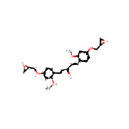 COc1cc(OCC2CO2)ccc1/C=C/C(=O)/C=C/c1ccc(OCC2CO2)cc1OC